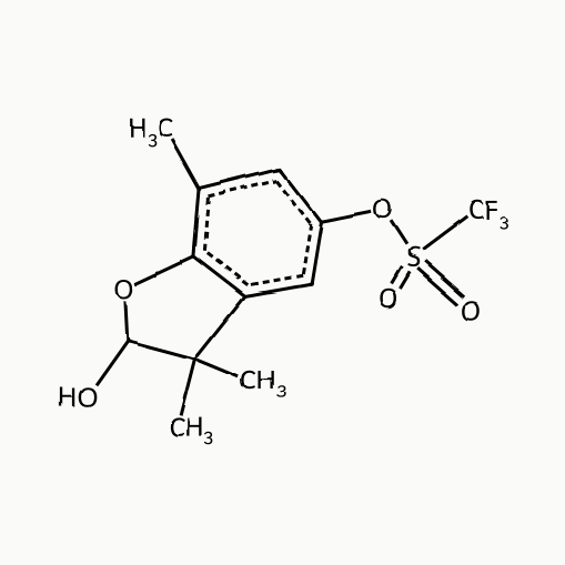 Cc1cc(OS(=O)(=O)C(F)(F)F)cc2c1OC(O)C2(C)C